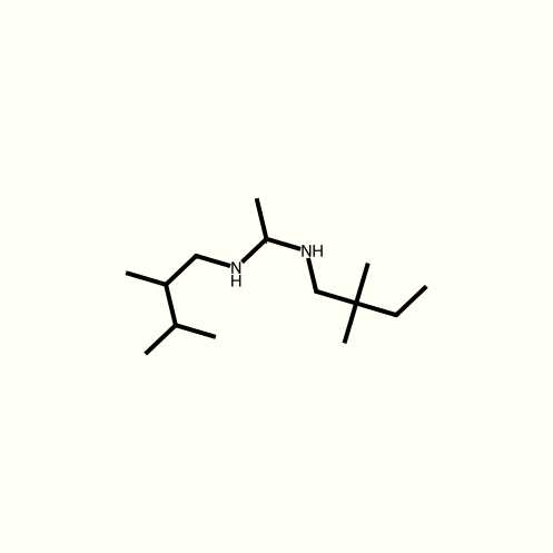 CCC(C)(C)CN[C](C)NCC(C)C(C)C